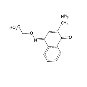 CC1=CC(=NOCC(=O)O)c2ccccc2C1=O.N